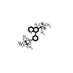 CC1(C)OB(c2cccc(-c3cc(C(C)(C)S(C)(=O)=O)cc4cccnc34)c2)OC1(C)C